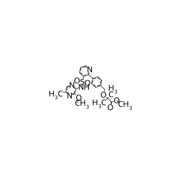 COC(=O)C(C)(C)OCc1ccc(-c2ncccc2S(=O)(=O)Nc2ncc(C)nc2OC)cc1